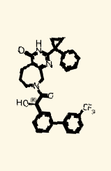 O=C([C@H](O)c1cccc(-c2cccc(C(F)(F)F)c2)c1)N1CCCc2c(nc(C3(c4ccccc4)CC3)[nH]c2=O)C1